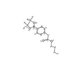 CCCCOC(=O)Cc1ccc(B2OC(C)(C)C(C)(C)O2)cc1